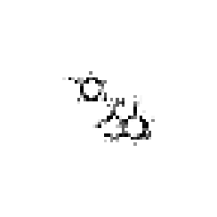 O=C(Nc1ccc(I)cc1)c1c(Cl)cncc1Cl